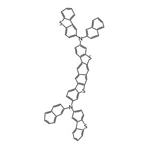 c1ccc2cc(N(c3ccc4c(c3)sc3cc5cc6sc7cc(N(c8ccc9ccccc9c8)c8ccc9sc%10ccccc%10c9c8)ccc7c6cc5cc34)c3ccc4sc5ccccc5c4c3)ccc2c1